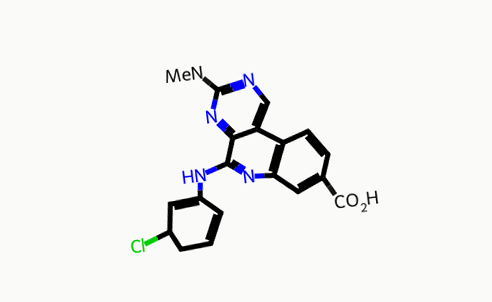 CNc1ncc2c(n1)c(NC1=CC(Cl)CC=C1)nc1cc(C(=O)O)ccc12